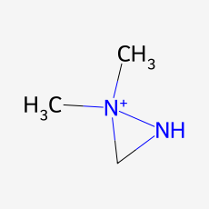 C[N+]1(C)CN1